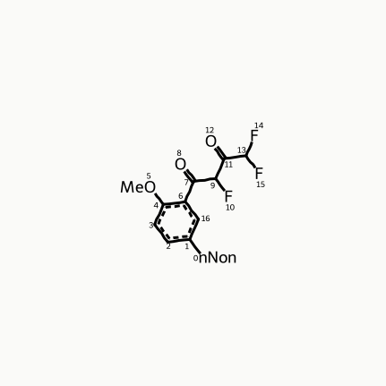 CCCCCCCCCc1ccc(OC)c(C(=O)C(F)C(=O)C(F)F)c1